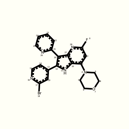 Fc1cc(N2CCOCC2)c2[nH]c(-c3ccnc(Br)c3)c(-c3ccccn3)c2n1